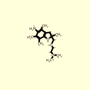 Cc1c(C)c2c(c(C)c1N)CC(C)(COCCN(C)C)O2